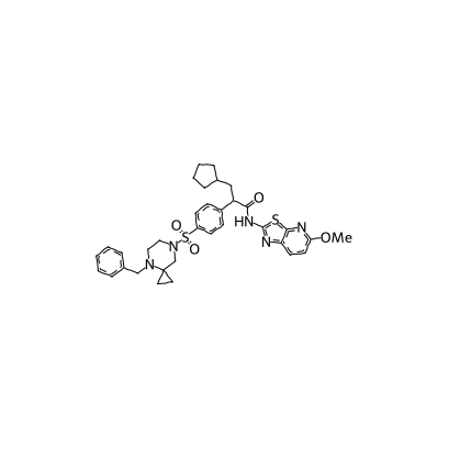 COc1ccc2nc(NC(=O)C(CC3CCCC3)c3ccc(S(=O)(=O)N4CCN(Cc5ccccc5)C5(CC5)C4)cc3)sc2n1